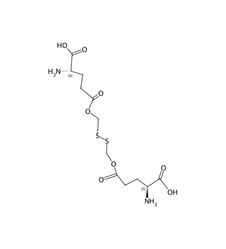 N[C@@H](CCC(=O)OCSSCOC(=O)CC[C@H](N)C(=O)O)C(=O)O